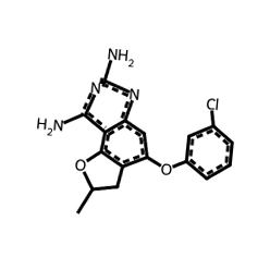 CC1Cc2c(Oc3cccc(Cl)c3)cc3nc(N)nc(N)c3c2O1